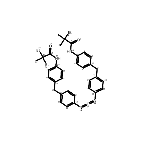 CCC(C)(C)C(=O)Nc1ccc(Cc2ccc(N=C=Nc3ccc(Cc4ccc(NC(=O)C(C)(CC)CC)cc4)cc3)cc2)cc1